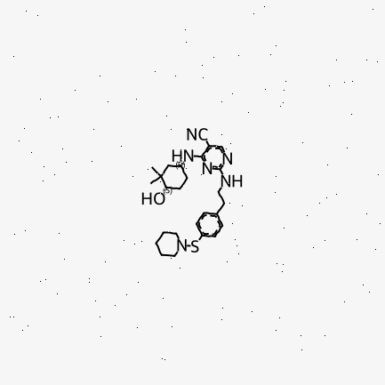 CC1(C)C[C@H](Nc2nc(NCCc3ccc(SN4CCCCC4)cc3)ncc2C#N)CC[C@@H]1O